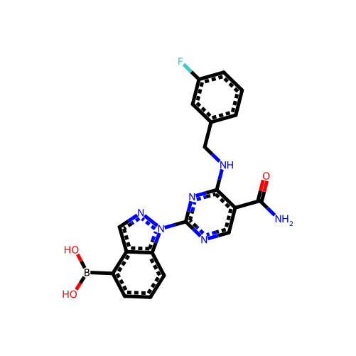 NC(=O)c1cnc(-n2ncc3c(B(O)O)cccc32)nc1NCc1cccc(F)c1